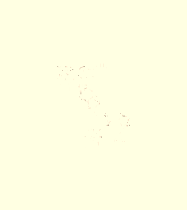 BC1(B)N(C(COC)c2cnn3cc(C(COC(C)(C)C(F)(F)F)NC(=O)c4nonc4C4CC4)nc3c2)C(=O)NC1(B)C(F)(F)F